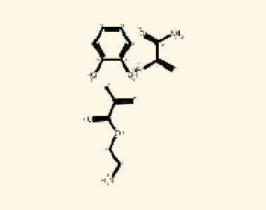 C=C(C)C(=O)OCCN.C=C(CCC)C(N)=O.Oc1ccccc1O